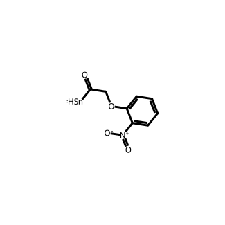 O=[C]([SnH])COc1ccccc1[N+](=O)[O-]